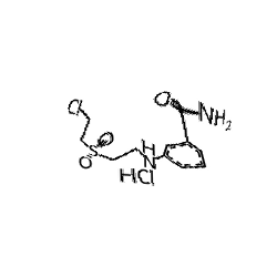 Cl.NC(=O)c1cccc(NCCS(=O)(=O)CCCl)c1